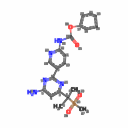 CC(C)(c1cc(N)nc(-c2ccc(NC(=O)Oc3ccccc3)nc2)n1)S(C)(=O)=O